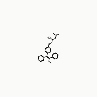 CC/C(=C(\c1ccccc1)c1ccc(OCC(O)CN(C)C)cc1)c1ccccc1